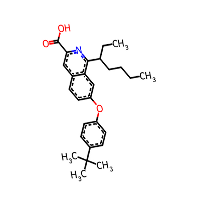 CCCCC(CC)c1nc(C(=O)O)cc2ccc(Oc3ccc(C(C)(C)C)cc3)cc12